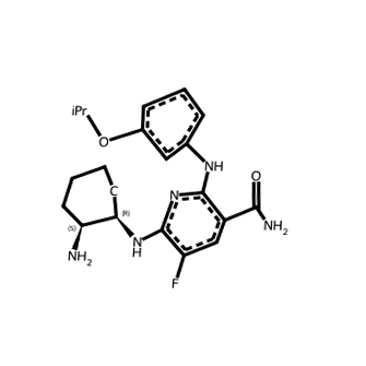 CC(C)Oc1cccc(Nc2nc(N[C@@H]3CCCC[C@@H]3N)c(F)cc2C(N)=O)c1